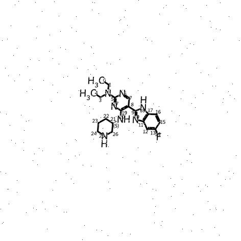 CCN(CC)c1ncc(-c2nc3cc(F)ccc3[nH]2)c(N[C@H]2CCCNC2)n1